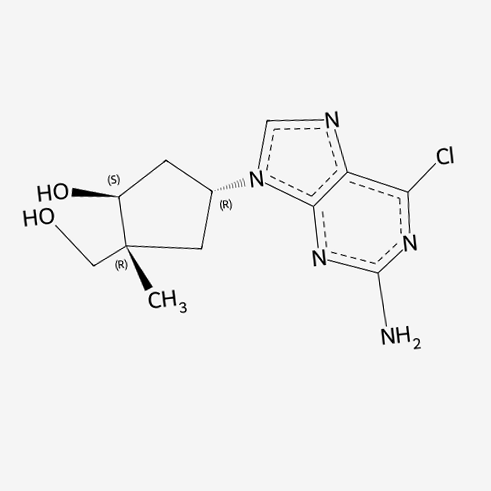 C[C@]1(CO)C[C@@H](n2cnc3c(Cl)nc(N)nc32)C[C@@H]1O